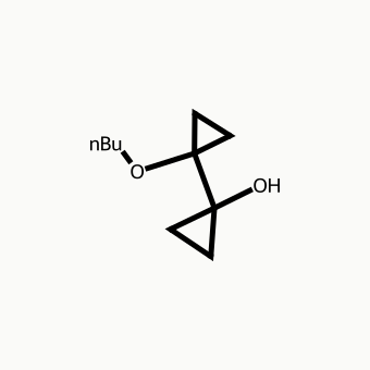 CCCCOC1(C2(O)CC2)CC1